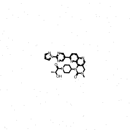 C[C@H](O)C(=O)N1CCC(N2C(=O)N(C)Cc3cnc4ccc(-c5cnc(-n6cccn6)nc5)nc4c32)CC1